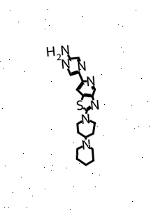 Nc1cnc(-c2cc3sc(N4CCC(N5CCCCC5)CC4)nc3cn2)cn1